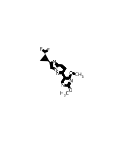 COc1ncc(-c2ccc3nc([C@H]4C[C@@H]4C(F)F)cn3n2)c(OC)n1